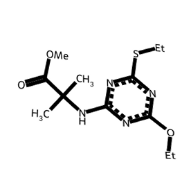 CCOc1nc(NC(C)(C)C(=O)OC)nc(SCC)n1